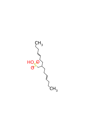 CCCC=CCCC(CCC=CCCC)CS(=O)(=O)O